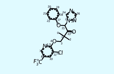 CC(C)(COc1ncc(C(F)(F)F)cc1Cl)C(=O)C(Oc1ccccc1)n1cncn1